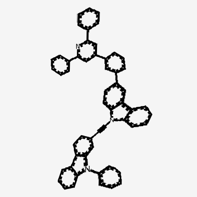 C(#Cn1c2ccccc2c2cc(-c3cccc(-c4cc(-c5ccccc5)nc(-c5ccccc5)c4)c3)ccc21)c1ccc2c3ccccc3n(-c3ccccc3)c2c1